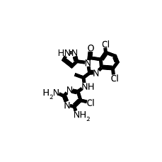 CC(Nc1nc(N)nc(N)c1Cl)c1nc2c(Cl)ccc(Cl)c2c(=O)n1-c1cc[nH]n1